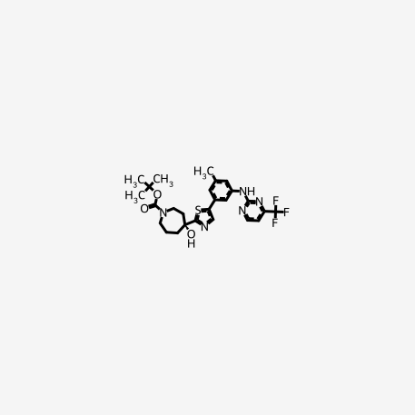 Cc1cc(Nc2nccc(C(F)(F)F)n2)cc(-c2cnc([C@]3(O)CCCN(C(=O)OC(C)(C)C)CC3)s2)c1